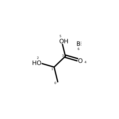 CC(O)C(=O)O.[B]